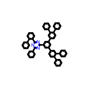 c1ccc(-c2nc(-c3cc(-c4ccc(-c5ccccc5)c(-c5ccccc5)c4)cc(-c4ccc(-c5ccccc5)c(-c5ccccc5)c4)c3)nc(-c3ccccc3-c3ccccc3)n2)cc1